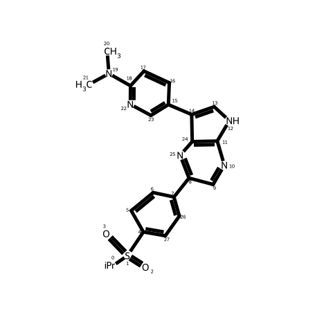 CC(C)S(=O)(=O)c1ccc(-c2cnc3[nH]cc(-c4ccc(N(C)C)nc4)c3n2)cc1